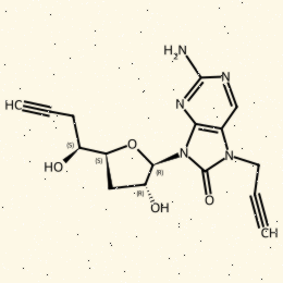 C#CC[C@H](O)[C@@H]1C[C@@H](O)[C@H](n2c(=O)n(CC#C)c3cnc(N)nc32)O1